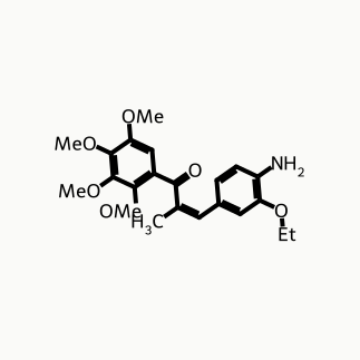 CCOc1cc(C=C(C)C(=O)c2cc(OC)c(OC)c(OC)c2OC)ccc1N